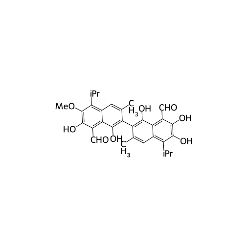 COc1c(O)c(C=O)c2c(O)c(-c3c(C)cc4c(C(C)C)c(O)c(O)c(C=O)c4c3O)c(C)cc2c1C(C)C